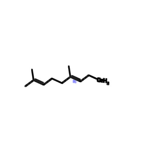 CC(C)=CCC/C(C)=C/[CH2][GeH3]